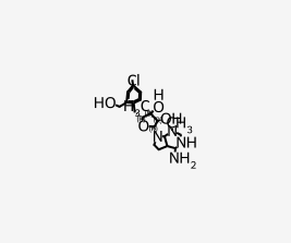 CN1CNC(N)C2CCN([C@@H]3O[C@H](Cc4ccc(Cl)cc4CO)[C@@](C)(O)[C@H]3O)C21